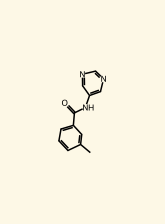 Cc1cccc(C(=O)Nc2cncnc2)c1